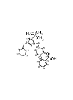 CC(C)(C)c1nc(Cc2ccccc2)nn1Cc1ccc(-c2ccccc2C(=O)O)cc1